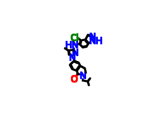 Cc1cn(-c2ccc3c(c2)CCN(CC(C)C)C3=O)nc1Nc1ccc2[nH]ncc2c1Cl